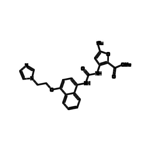 COC(=O)c1oc(C(C)(C)C)cc1NC(=O)Nc1ccc(OCCn2ccnc2)c2ccccc12